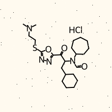 CN(C)CCSc1nnc(C(=O)C(CC2CCCCC2)N(C=O)C2CCCCCC2)o1.Cl